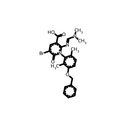 Cc1ccc(OCc2ccccc2)c(C)c1-n1c(N=CN(C)C)c(C(=O)O)cc(Br)c1=O